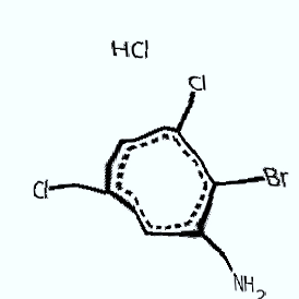 Cl.Nc1cc(Cl)cc(Cl)c1Br